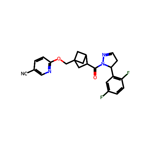 N#Cc1ccc(OCC23CC(C2)C(C(=O)N2N=CCC2c2cc(F)ccc2F)C3)nc1